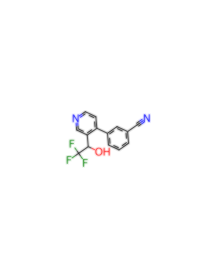 N#Cc1cccc(-c2ccncc2C(O)C(F)(F)F)c1